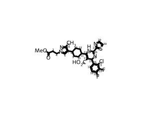 COC(=O)CCn1cc(C2CCC(C3=C(C(=O)O)C(c4ccc(F)c(F)c4Cl)N=C(c4nccs4)N3)CC2)c(C)n1